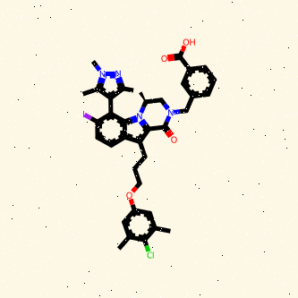 Cc1cc(OCCCc2c3n(c4c(-c5c(C)nn(C)c5C)c(I)ccc24)[C@@H](C)CN(Cc2cccc(C(=O)O)c2)C3=O)cc(C)c1Cl